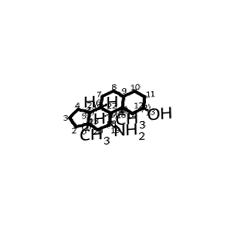 C[C@@]12CCC[C@H]1[C@@H]1CCC3CC[C@@H](O)C[C@]3(C)[C@H]1[C@H](N)C2